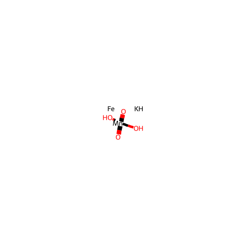 [Fe].[KH].[O]=[Mn](=[O])([OH])[OH]